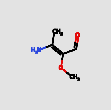 COC(C=O)=C(C)N